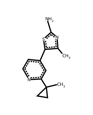 Cc1nc(N)sc1-c1ccnc(C2(C)CC2)c1